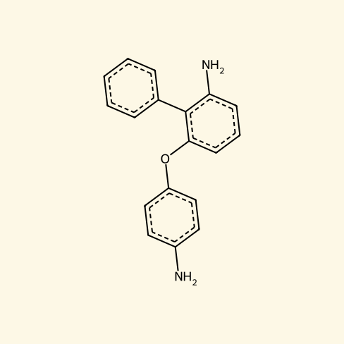 Nc1ccc(Oc2cccc(N)c2-c2ccccc2)cc1